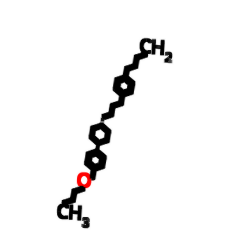 C=CCCCc1ccc(CCCC[C@H]2CC[C@H](c3ccc(COCCCCC)cc3)CC2)cc1